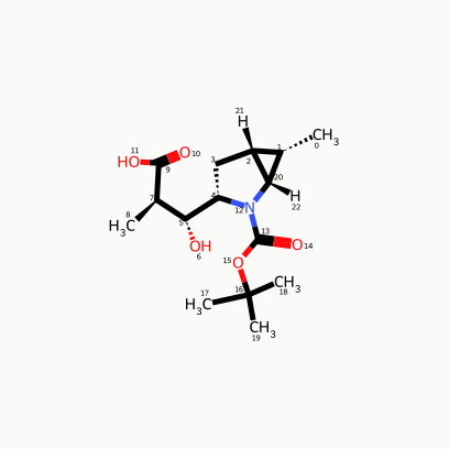 C[C@H]1[C@H]2C[C@@H]([C@H](O)[C@@H](C)C(=O)O)N(C(=O)OC(C)(C)C)[C@@H]12